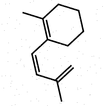 C=C(C)/C=C\C1=C(C)CCCC1